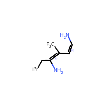 CC(C)C/C(N)=C(/C=C\N)C(F)(F)F